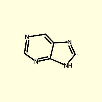 [c]1nc2cncnc2[nH]1